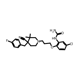 CC1(C)CN(CCCOc2ccc(Cl)cc2NC(N)=O)CCC1(C#N)Cc1ccc(F)cc1